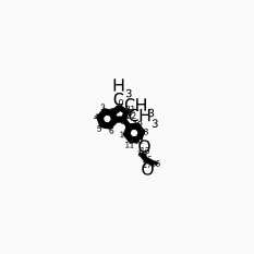 CC1=c2ccccc2=C(c2ccc(OCC3CO3)cc2)C1(C)C